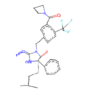 CC(C)CCC1(c2ccccc2)NC(=N)N(Cc2ccc(C(F)(F)F)c(C(=O)N3CCC3)c2)C1=O